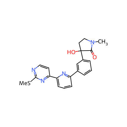 CSc1nccc(-c2cccc(-c3cccc(C4(O)CCN(C)C4=O)c3)n2)n1